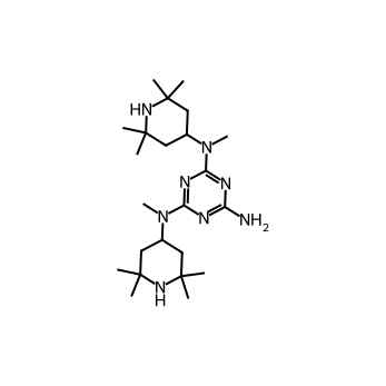 CN(c1nc(N)nc(N(C)C2CC(C)(C)NC(C)(C)C2)n1)C1CC(C)(C)NC(C)(C)C1